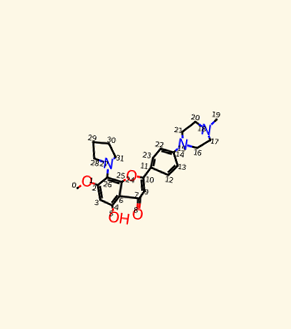 COc1cc(O)c2c(=O)cc(-c3ccc(N4CCN(C)CC4)cc3)oc2c1N1CCCC1